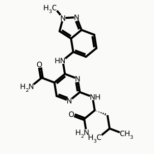 CC(C)C[C@@H](Nc1ncc(C(N)=O)c(Nc2cccc3nn(C)cc23)n1)C(N)=O